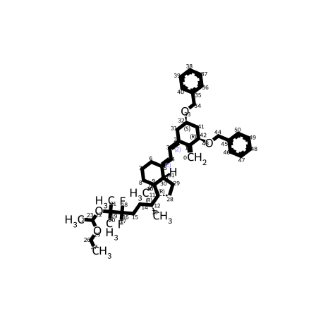 C=C1/C(=C\C=C2/CCC[C@]3(C)[C@@H]([C@H](C)CCC(F)(F)C(C)(C)OC(C)OCC)CC[C@@H]23)C[C@H](OCc2ccccc2)C[C@H]1OCc1ccccc1